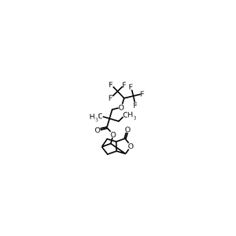 CCC(C)(COC(C(F)(F)F)C(F)(F)F)C(=O)OC1C2CC3C(=O)OC1C3C2